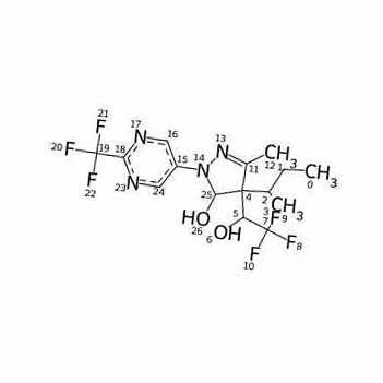 CCC(C)C1(C(O)C(F)(F)F)C(C)=NN(c2cnc(C(F)(F)F)nc2)C1O